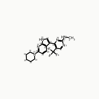 CNc1ncc(C(F)(F)F)c(-c2c[nH]c3nc(N4CCCCC4)ccc23)n1